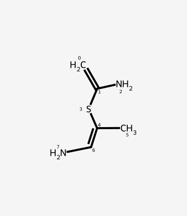 C=C(N)S/C(C)=C\N